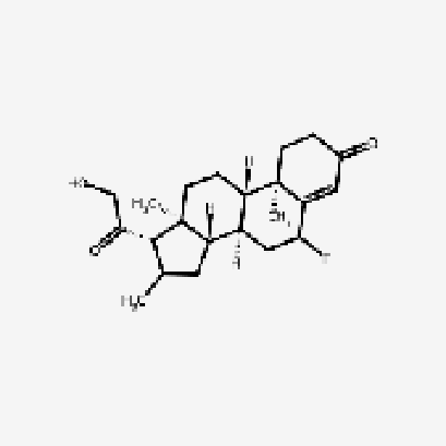 CC1C[C@H]2[C@@H]3CC(F)C4=CC(=O)CC[C@]4(C)[C@H]3CC[C@]2(C)[C@H]1C(=O)CO